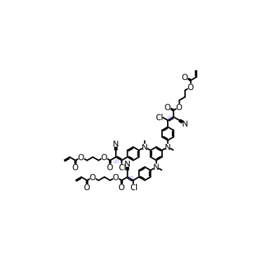 C=CC(=O)OCCCOC(=O)/C(C#N)=C(\Cl)c1ccc(N(C)c2cc(N(C)c3ccc(/C(Cl)=C(\C#N)C(=O)OCCCOC(=O)C=C)cc3)cc(N(C)c3ccc(/C(Cl)=C(\C#N)C(=O)OCCCOC(=O)C=C)cc3)c2)cc1